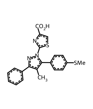 CSc1ccc(-c2c(C)c(-c3ccccc3)nn2-c2nc(C(=O)O)cs2)cc1